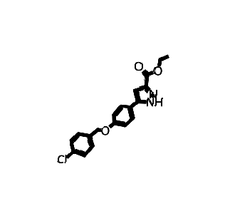 CCOC(=O)c1cc(-c2ccc(OCc3ccc(Cl)cc3)cc2)[nH]n1